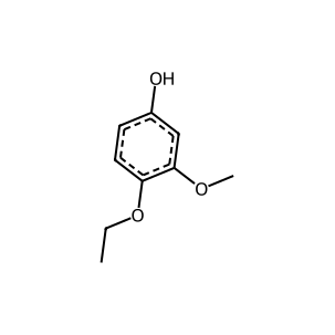 CCOc1ccc(O)cc1OC